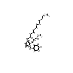 CCCCCCCCCCCC[n+]1ccn(Cc2ccccc2)c1CCCC